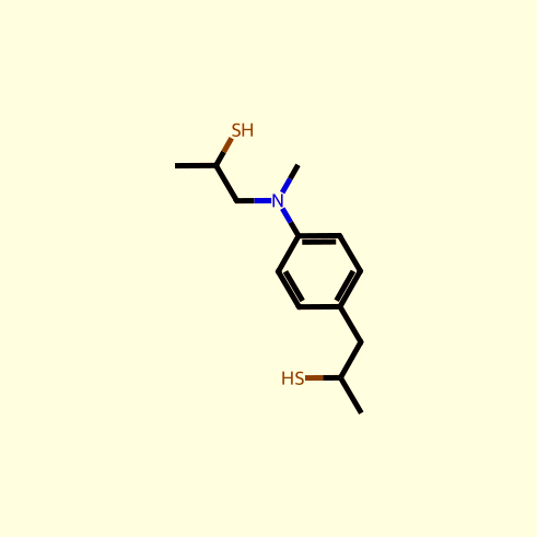 CC(S)Cc1ccc(N(C)CC(C)S)cc1